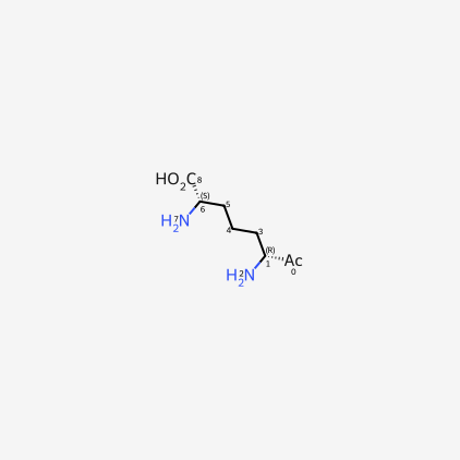 CC(=O)[C@H](N)CCC[C@H](N)C(=O)O